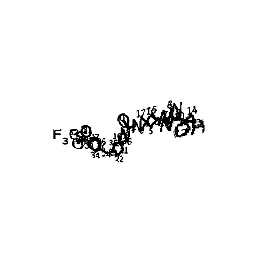 O=C(N1CC2(CC(n3cnc(C4(O)CC4)n3)C2)C1)N1CC2(CC[C@@H](Cc3ccc(S(=O)(=O)C(F)(F)F)cc3)C2)C1